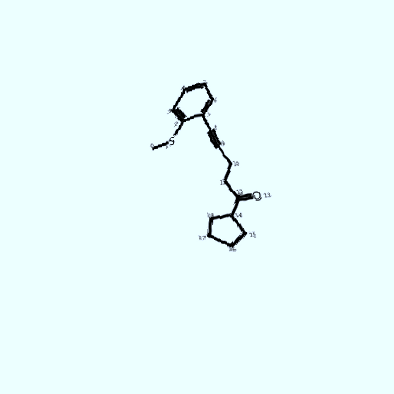 CSc1ccccc1C#CCCC(=O)C1CCCC1